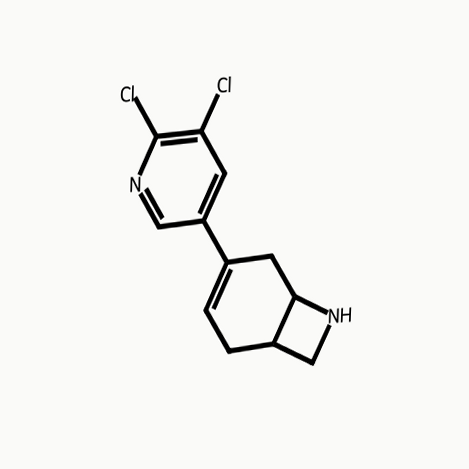 Clc1cc(C2=CCC3CNC3C2)cnc1Cl